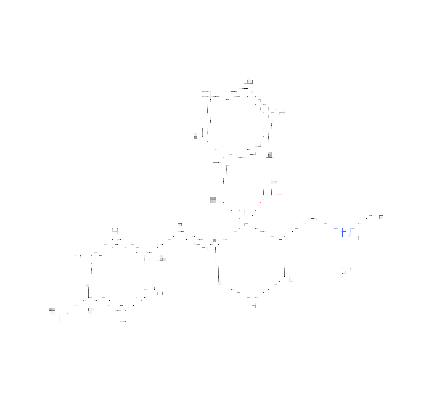 CN(C)CC1CCCC(=Cc2ccc(Cl)cc2)C1(O)Cc1ccccc1